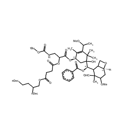 CCCCCCCCCCCCC(CCCCCCCCCC)COC(=O)CCC(=O)OC(CNC(=O)OC(C)(C)C)C(=O)O[C@@H]1CC(O)([C@H](OC(=O)c2ccccc2)C2C3CO[C@H]3CC(OC)C2(C)C=O)C(C)(C)C(C(C)OC)=C1C